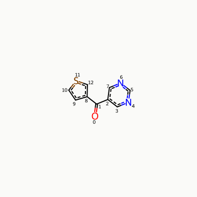 O=C(c1cncnc1)c1ccsc1